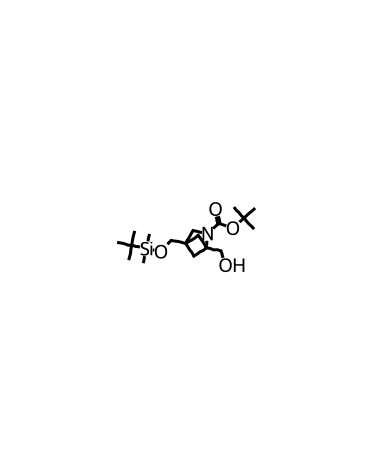 CC(C)(C)OC(=O)N1CC2(CO[Si](C)(C)C(C)(C)C)CC1(CO)C2